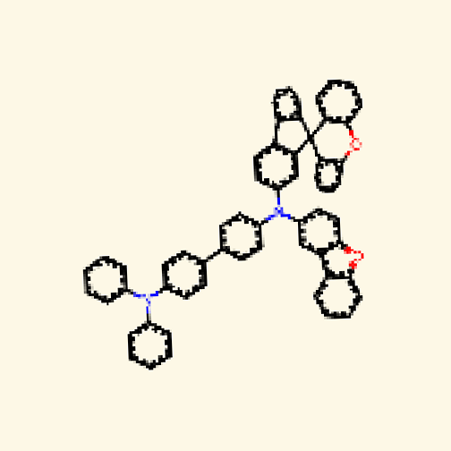 c1ccc(N(c2ccccc2)c2ccc(-c3ccc(N(c4ccc5c(c4)C4(c6ccccc6Oc6ccccc64)c4ccccc4-5)c4ccc5oc6ccccc6c5c4)cc3)cc2)cc1